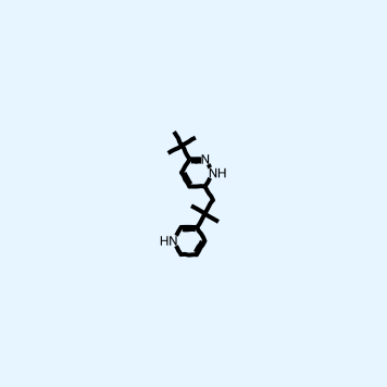 CC(C)(C)C1=NNC(CC(C)(C)C2=CNCC=C2)C=C1